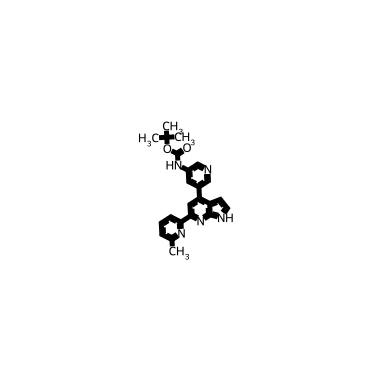 Cc1cccc(-c2cc(-c3cncc(NC(=O)OC(C)(C)C)c3)c3cc[nH]c3n2)n1